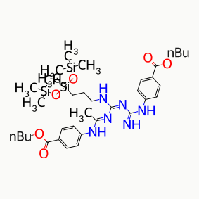 CCCCOC(=O)c1ccc(NC(=N)/N=C(\N=C(/C)Nc2ccc(C(=O)OCCCC)cc2)NCCC[Si](C)(O[Si](C)(C)C)O[Si](C)(C)C)cc1